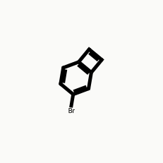 Brc1ccc2c(c1)C=C2